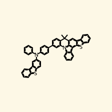 CC1(C)c2ccc(-c3ccc(N(c4ccccc4)c4ccc5sc6ccccc6c5c4)cc3)cc2-n2c3ccccc3c3c4sc5ccccc5c4cc1c32